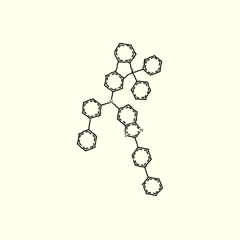 c1ccc(-c2ccc(-c3nc4ccc(N(c5cccc(-c6ccccc6)c5)c5ccc6c(c5)C(c5ccccc5)(c5ccccc5)c5ccccc5-6)cc4s3)cc2)cc1